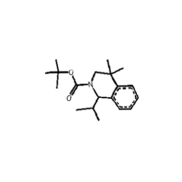 CC(C)C1c2ccccc2C(C)(C)CN1C(=O)OC(C)(C)C